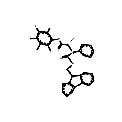 C[C@@H](C(=O)Oc1c(F)c(F)c(F)c(F)c1F)N(C(=O)OCC1c2ccccc2-c2ccccc21)c1ccccc1